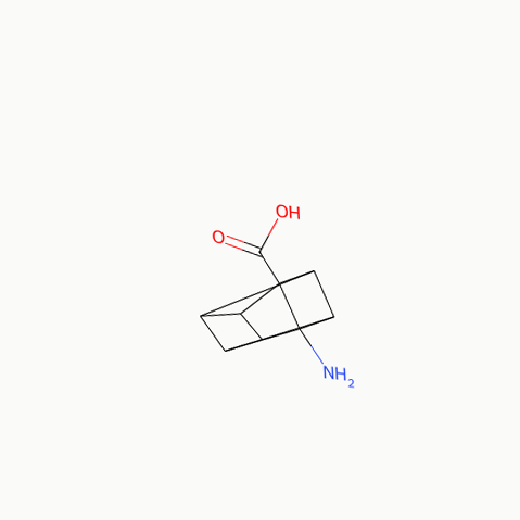 NC12C3C4C5C3C1(C(=O)O)C5C42